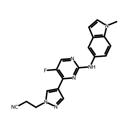 Cn1ccc2cc(Nc3ncc(F)c(-c4cnn(CCC#N)c4)n3)ccc21